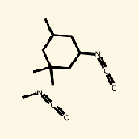 CC1CC(N=C=O)CC(C)(C)C1.CN=C=O